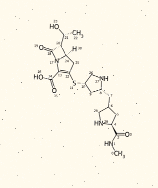 CNC(=O)[C@@H]1CC(C[C@@H]2C[C@H](SC3=C(C(=O)O)N4C(=O)[C@H]([C@@H](C)O)[C@H]4C3)CN2)CN1